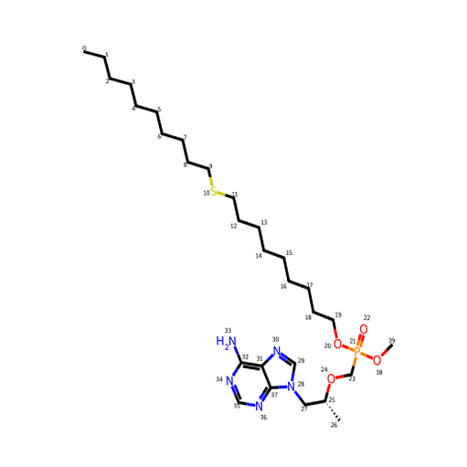 CCCCCCCCCCSCCCCCCCCCOP(=O)(CO[C@H](C)Cn1cnc2c(N)ncnc21)OC